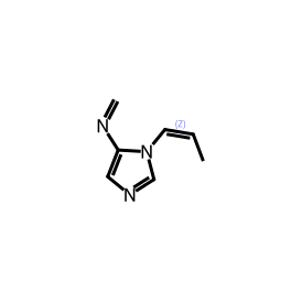 C=Nc1cncn1/C=C\C